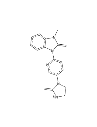 C=C1NCCN1c1ccc(N2C(=C)N(C)c3ccccc32)nc1